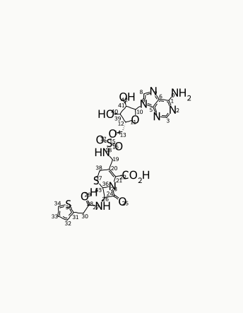 Nc1ncnc2c1ncn2C1O[C@H](COS(=O)(=O)NCC2=C(C(=O)O)N3C(=O)[C@@H](NC(=O)Cc4cccs4)[C@H]3SC2)[C@@H](O)[C@H]1O